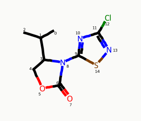 CC(C)C1COC(=O)N1c1nc(Cl)ns1